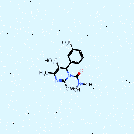 COC1=NC(C)=C(C(=O)O)C(c2cccc([N+](=O)[O-])c2)N1C(=O)N(C)C